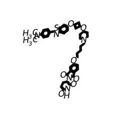 CN(C)c1ccc(-c2nc3ccc(O[C@H]4C[C@H](OC5CCN(CCCCCOc6ccc7c(c6)C(=O)N(C6CCC(=O)NC6=O)C7=O)CC5)C4)cc3s2)cc1